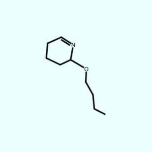 CCCCOC1CCCC=N1